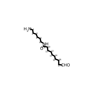 NCCCCCCNC(=O)CCCCCCCCC=O